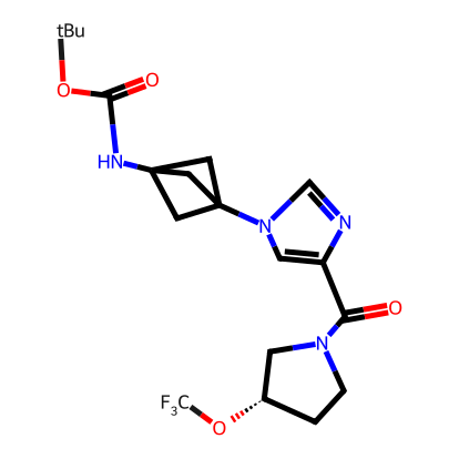 CC(C)(C)OC(=O)NC12CC(n3cnc(C(=O)N4CC[C@H](OC(F)(F)F)C4)c3)(C1)C2